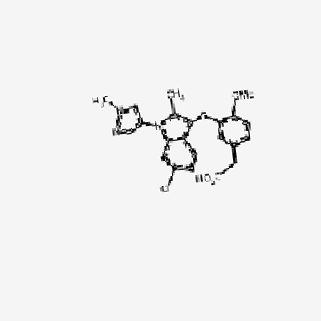 COc1ccc(CC(=O)O)cc1Sc1c(C)n(-c2cnn(C)c2)c2cc(Cl)ccc12